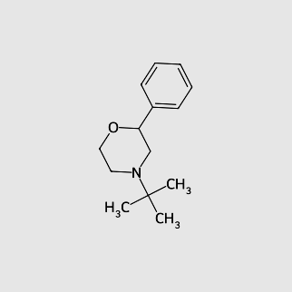 CC(C)(C)N1CCOC(c2ccccc2)C1